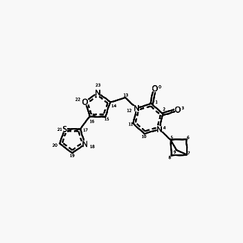 O=c1c(=O)n(C23CC(C2)C3)ccn1Cc1cc(-c2nccs2)on1